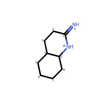 N=C1CCC2CCCCC2N1